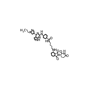 CCCn1cc(-c2nc(Nc3ccc(C(=O)NCCCCNc4cccc5c4C(=O)N(C4CCC(=O)NC4=O)C5=O)cc3)nc3[nH]ccc23)cn1